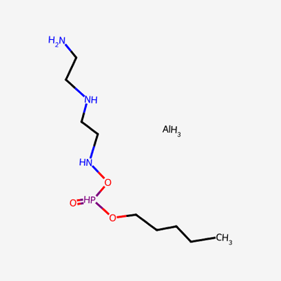 CCCCCO[PH](=O)ONCCNCCN.[AlH3]